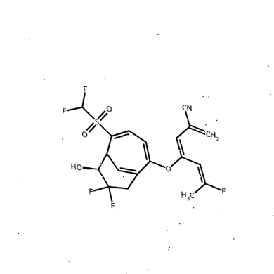 C=C(C#N)/C=C(\C=C(/C)F)OC1=CC=C(S(=O)(=O)C(F)F)C2C=C1CC(F)(F)[C@H]2O